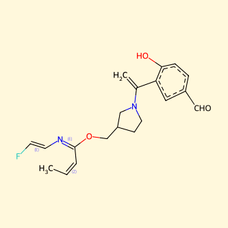 C=C(c1cc(C=O)ccc1O)N1CCC(COC(/C=C\C)=N/C=C/F)C1